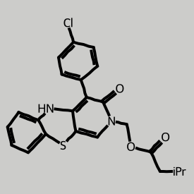 CC(C)CC(=O)OCn1cc2c(c(-c3ccc(Cl)cc3)c1=O)Nc1ccccc1S2